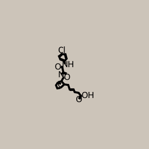 O=C(O)CCC=CCC1C2CCC(O2)C1c1nc(C(=O)Nc2ccc(Cl)cc2)co1